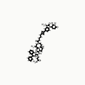 Cn1c(=O)n(C2CCC(=O)NC2=O)c2ccc(C3CC(CCCCC(=O)N4CC[C@H]5CC[C@@H](C(=O)N[C@@H](CCC(N)=O)C(=O)NC(c6ccccc6)c6ccccc6)N5C(=O)[C@@H](N)C4)C3)cc21